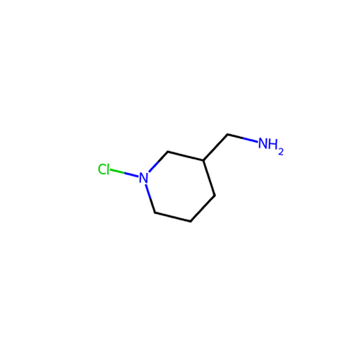 NCC1CCCN(Cl)C1